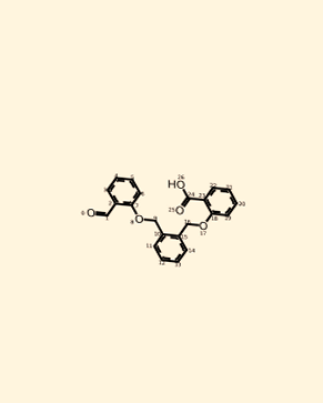 O=Cc1ccccc1OCc1ccccc1COc1ccccc1C(=O)O